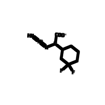 N=[N+]=NN(C(=O)[O-])C1CCCC(F)(F)C1